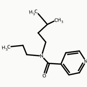 CCCN(CCC(C)C)C(=O)c1ccncc1